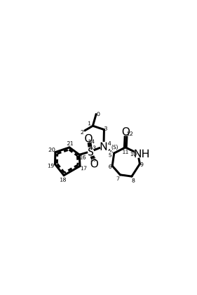 CC(C)CN([C@H]1CCCCNC1=O)S(=O)(=O)c1ccccc1